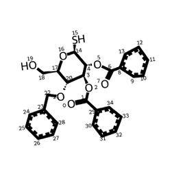 O=C(O[C@@H]1[C@@H](OC(=O)c2ccccc2)[C@H](S)O[C@H](CO)[C@H]1OCc1ccccc1)c1ccccc1